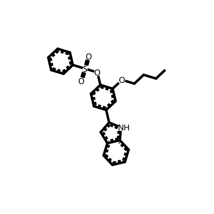 CCCCOc1cc(-c2cc3ccccc3[nH]2)ccc1OS(=O)(=O)c1ccccc1